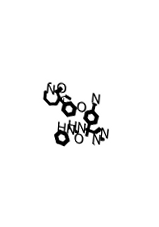 CC[C@]1(c2cccc(Oc3cc(C(C)(NC(=O)Nc4ccccc4)c4cncn4C)ccc3C#N)c2)CCCCN(C)C1=O